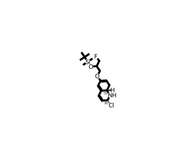 CC(C)(C)[Si](C)(C)OC(CF)COC1=CC[C@@H]2N[C@H](Cl)C=CC2=C1